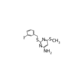 CSc1cc(N)nc(SCc2cccc(I)c2)n1